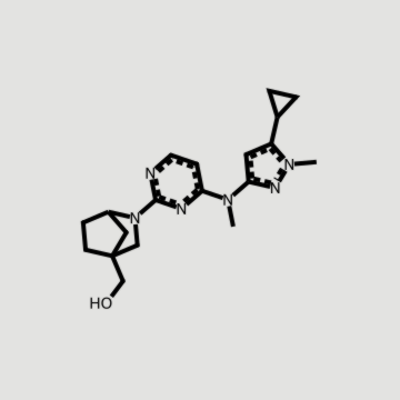 CN(c1ccnc(N2CC3(CO)CCC2C3)n1)c1cc(C2CC2)n(C)n1